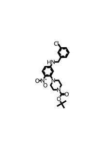 CC(C)(C)OC(=O)N1CCN(c2cc(NCc3cccc(Cl)c3)ccc2[N+](=O)[O-])CC1